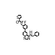 CN(Cc1cc(-c2ccc3ncnc(NCc4ccccc4)c3c2)ccc1F)C(=O)c1cccs1